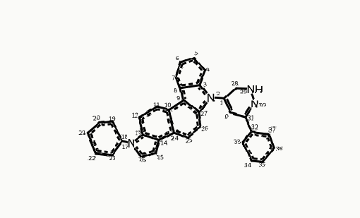 C1=C(n2c3ccccc3c3c4ccc5c(ccn5-c5ccccc5)c4ccc32)CNN=C1c1ccccc1